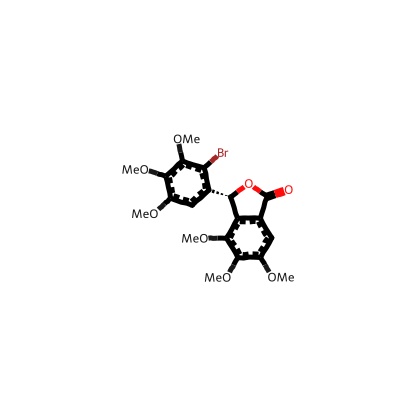 COc1cc([C@@H]2OC(=O)c3cc(OC)c(OC)c(OC)c32)c(Br)c(OC)c1OC